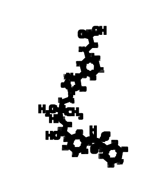 CC(C)(CCn1cnc(-c2cccc(CCC(=O)O)c2)c1)NCC(O)c1cccc(NS(=O)(=O)c2ccccc2)c1